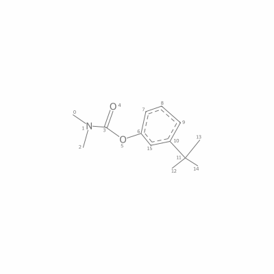 CN(C)C(=O)Oc1cccc(C(C)(C)C)c1